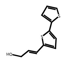 OC/C=C/c1ccc(-c2cccs2)s1